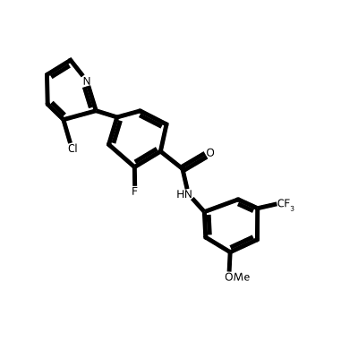 COc1cc(NC(=O)c2ccc(-c3ncccc3Cl)cc2F)cc(C(F)(F)F)c1